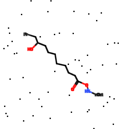 CCCCCCCCNOC(=O)CCCCCCCC(O)CC(C)C